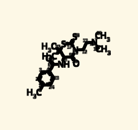 Cc1ccc(C(=O)NC2C(=O)N(CCN(C)C)C(=S)SC2(C)C)cc1